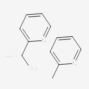 C[C@@H](O)c1ccccn1.Cc1ccccn1